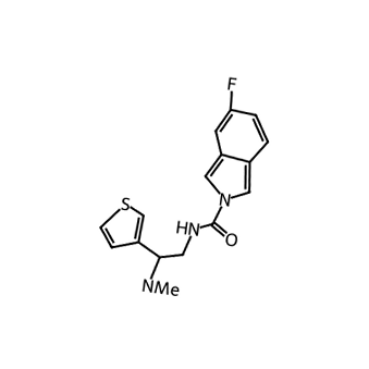 CNC(CNC(=O)n1cc2ccc(F)cc2c1)c1ccsc1